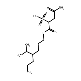 CCCC(CCCOC(=O)C(CC(N)=O)S(=O)(=O)O)C(C)C